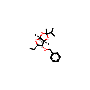 CC[C@H]1O[C@@H]2OC(C)(C(C)C)O[C@@H]2[C@H]1OCc1ccccc1